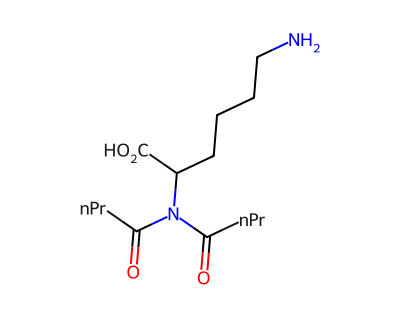 CCCC(=O)N(C(=O)CCC)C(CCCCN)C(=O)O